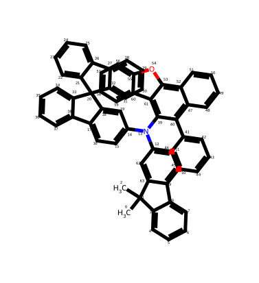 CC1(C)c2ccccc2-c2ccc(N(c3ccc4c(c3)C3(c5ccccc5-c5ccccc53)c3ccccc3-4)c3c(-c4ccccc4)c4ccccc4c4oc5ccccc5c34)cc21